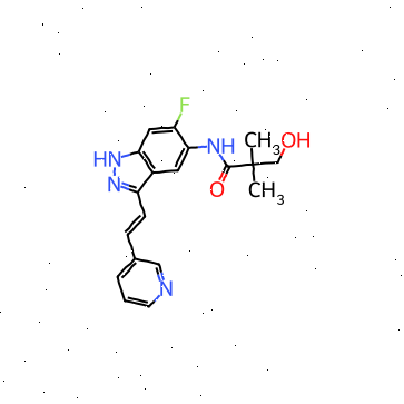 CC(C)(CO)C(=O)Nc1cc2c(C=Cc3cccnc3)n[nH]c2cc1F